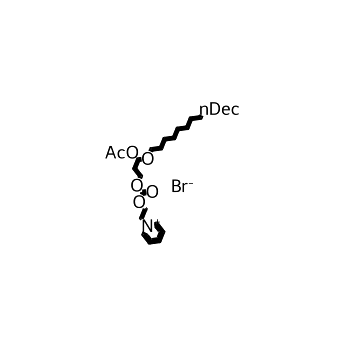 CCCCCCCCCCCCCCCCCCO[C@H](CCOC(=O)OCC[n+]1ccccc1)OC(C)=O.[Br-]